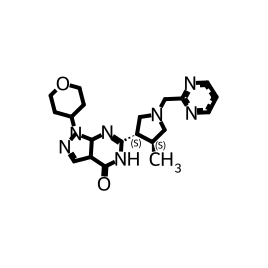 C[C@@H]1CN(Cc2ncccn2)C[C@H]1C1=NC2C(C=NN2C2CCOCC2)C(=O)N1